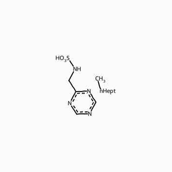 CCCCCCCC.O=S(=O)(O)NCc1ncncn1